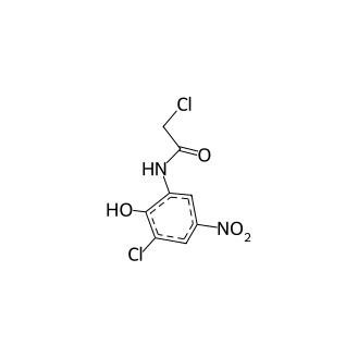 O=C(CCl)Nc1cc([N+](=O)[O-])cc(Cl)c1O